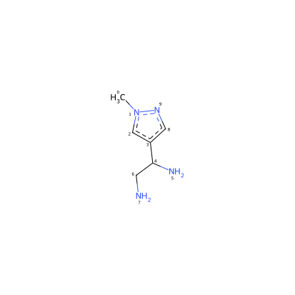 Cn1cc(C(N)CN)cn1